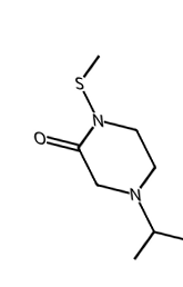 CSN1CCN(C(C)C)CC1=O